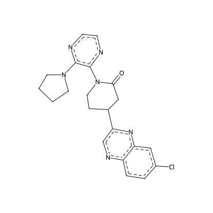 O=C1CC(c2cnc3ccc(Cl)cc3n2)CCN1c1nccnc1N1CCCC1